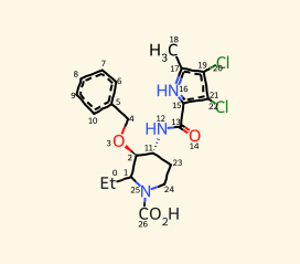 CCC1[C@@H](OCc2ccccc2)[C@H](NC(=O)c2[nH]c(C)c(Cl)c2Cl)CCN1C(=O)O